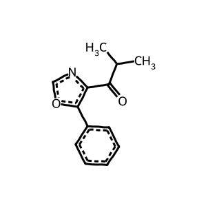 CC(C)C(=O)c1ncoc1-c1ccccc1